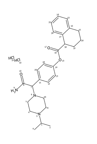 CC(C)N1CCN(C(C(N)=O)c2ccc(OC(=O)C3CCCc4ccccc43)cc2)CC1.Cl.Cl